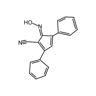 N#CC1=C(c2ccccc2)C=C(c2ccccc2)C1=NO